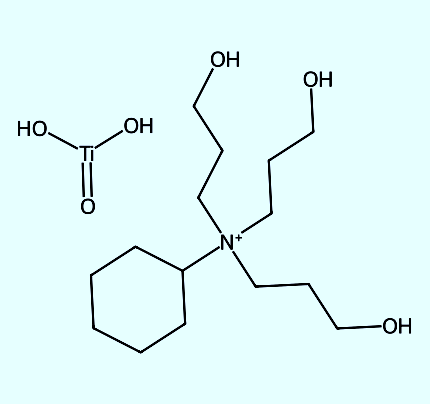 OCCC[N+](CCCO)(CCCO)C1CCCCC1.[O]=[Ti]([OH])[OH]